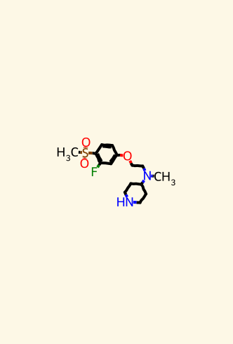 CN(CCOc1ccc(S(C)(=O)=O)c(F)c1)C1CCNCC1